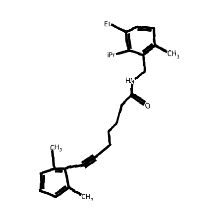 CCc1ccc(C)c(CNC(=O)CCCCC#Cc2c(C)cccc2C)c1C(C)C